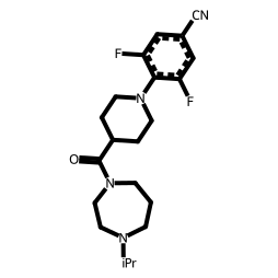 CC(C)N1CCCN(C(=O)C2CCN(c3c(F)cc(C#N)cc3F)CC2)CC1